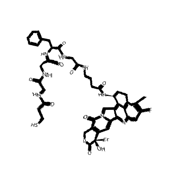 CC[C@@]1(O)C(=O)OCc2c1cc1n(c2=O)Cc2c-1nc1cc(F)c(C)c3c1c2[C@@H](NC(=O)CCCNC(=O)CNC(=O)C(Cc1ccccc1)NC(=O)CNC(=O)CNC(=O)CCS)CC3